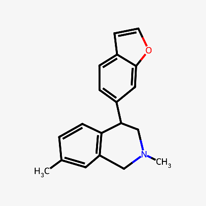 Cc1ccc2c(c1)CN(C)CC2c1ccc2ccoc2c1